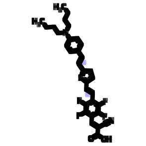 CCCCN(CCCC)c1ccc(/C=C/c2ccc(/C=C/c3c(F)c(F)c(C=C(C#N)C(=O)O)c(F)c3F)s2)cc1